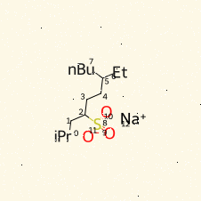 [CH2]C(C)CC(CCC(CC)CCCC)S(=O)(=O)[O-].[Na+]